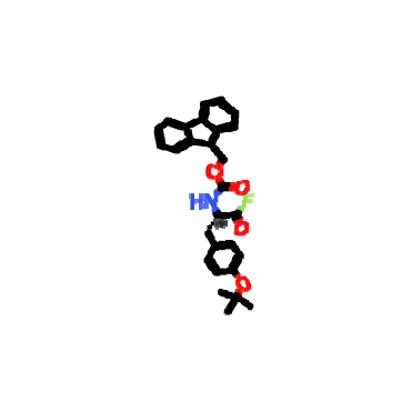 CC(C)(C)Oc1ccc(C[C@H](NC(=O)OCC2c3ccccc3-c3ccccc32)C(=O)F)cc1